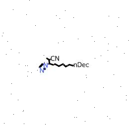 CCCCCCCCCCCCCCCCCC(C(C)C#N)n1ccnc1